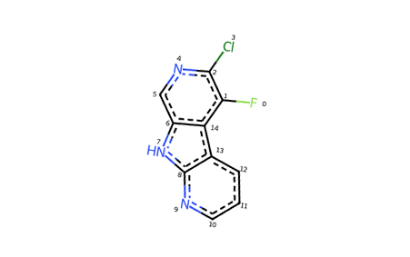 Fc1c(Cl)ncc2[nH]c3ncccc3c12